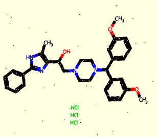 COc1cccc(C(c2cccc(OC)c2)N2CCN(CC(O)c3nc(-c4ccccc4)[nH]c3C)CC2)c1.Cl.Cl.Cl